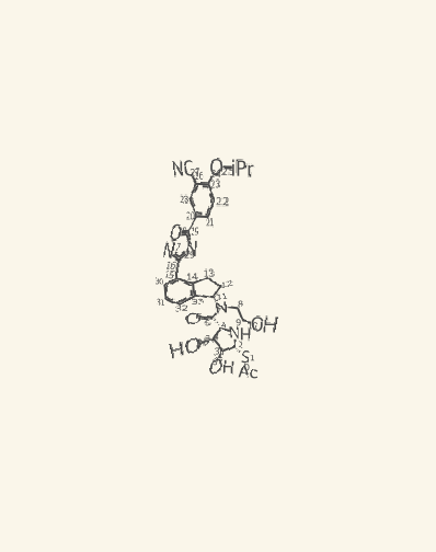 CC(=O)S[C@H]1N[C@@H](C(=O)N(CCO)[C@H]2CCc3c(-c4noc(-c5ccc(OC(C)C)c(C#N)c5)n4)cccc32)[C@H](O)[C@@H]1O